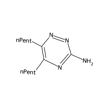 CCCCCc1nnc(N)nc1CCCCC